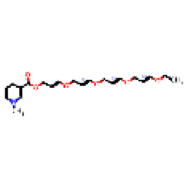 CCO/C=C/CO/C=C/CO/C=C/CO/C=C/COC(=O)C1=CN(C)C=CC1